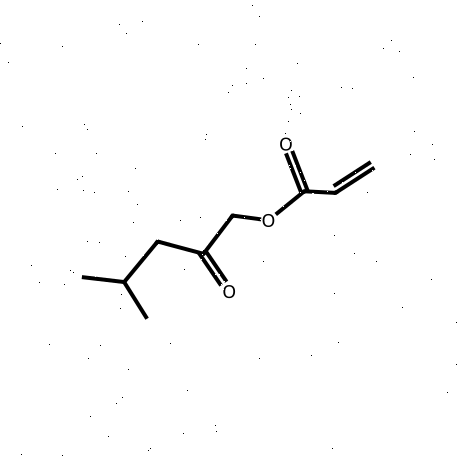 C=CC(=O)OCC(=O)CC(C)C